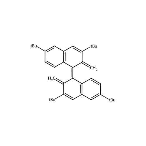 C=c1c(C(C)(C)C)cc2cc(C(C)(C)C)ccc2c1=c1c(=C)c(C(C)(C)C)cc2cc(C(C)(C)C)ccc12